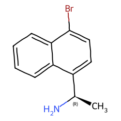 C[C@@H](N)c1ccc(Br)c2ccccc12